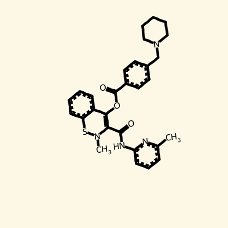 Cc1cccc(NC(=O)C2=C(OC(=O)c3ccc(CN4CCCCC4)cc3)c3ccccc3SN2C)n1